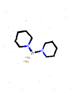 Br.Br.C1CC[N]([Zr][N]2CCCCC2)CC1